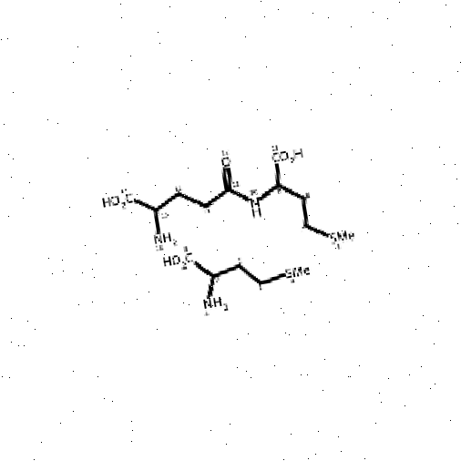 CSCCC(N)C(=O)O.CSCCC(NC(=O)CCC(N)C(=O)O)C(=O)O